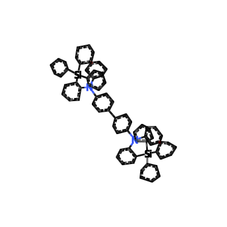 c1ccc(N(c2ccc(-c3ccc(N(c4ccccc4)c4ccccc4[Si](c4ccccc4)(c4ccccc4)c4ccccc4)cc3)cc2)c2ccccc2[Si](c2ccccc2)(c2ccccc2)c2ccccc2)cc1